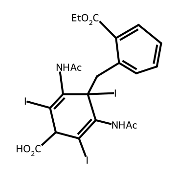 CCOC(=O)c1ccccc1CC1(I)C(NC(C)=O)=C(I)C(C(=O)O)C(I)=C1NC(C)=O